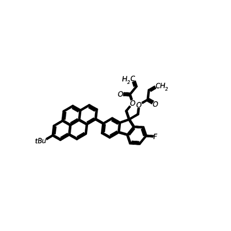 C=CC(=O)OCC1(COC(=O)C=C)c2cc(F)ccc2-c2ccc(-c3ccc4ccc5cc(C(C)(C)C)cc6ccc3c4c56)cc21